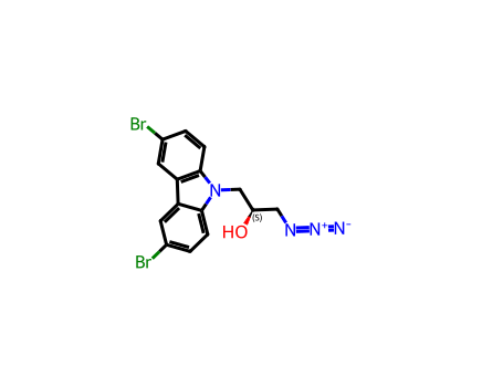 [N-]=[N+]=NC[C@@H](O)Cn1c2ccc(Br)cc2c2cc(Br)ccc21